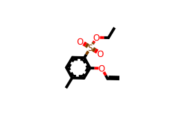 C=COc1cc(C)ccc1S(=O)(=O)OCC